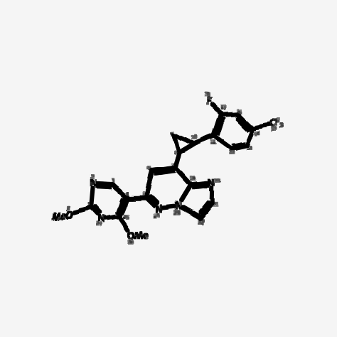 COc1ncc(-c2cc(C3CC3c3ccc(C(F)(F)F)cc3F)c3nccn3n2)c(OC)n1